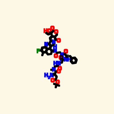 CC[C@@]1(O)C(=O)OCc2c1cc1n(c2=O)Cc2c-1nc1cc(F)c(C)c3c1c2[C@@H](NC(=O)CNC(=O)[C@H](Cc1ccccc1)NC(=O)CNC(=O)CN(C)C(=O)[C@@H](N)CC(=O)OC(C)(C)C)CC3